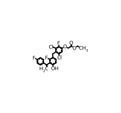 C=C(c1ccc(F)cc1)c1c(O)ccc(Cc2c(Cl)cc(OCC(=O)OCC)c(F)c2Cl)c1F